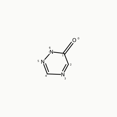 O=C1C=NC=N[N]1